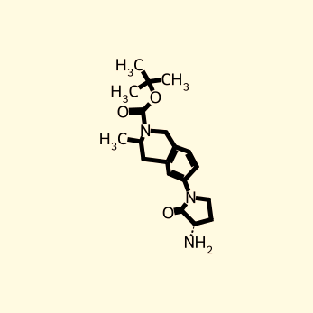 CC1Cc2cc(N3CC[C@H](N)C3=O)ccc2CN1C(=O)OC(C)(C)C